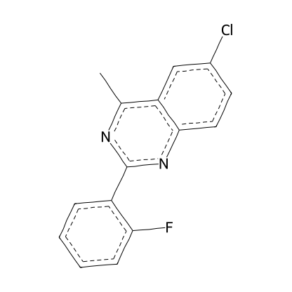 Cc1nc(-c2ccccc2F)nc2ccc(Cl)cc12